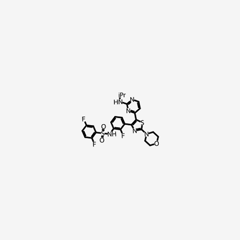 CC(C)Nc1nccc(-c2sc(N3CCOCC3)nc2-c2cccc(NS(=O)(=O)c3cc(F)ccc3F)c2F)n1